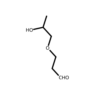 CC(O)COCCC=O